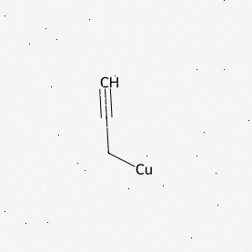 C#C[CH2][Cu]